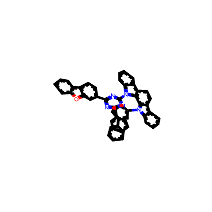 c1ccc(-c2cccc(-n3c4ccccc4c4ccc5c6ccccc6n(-c6nc(-c7ccccc7)nc(-c7ccc8c(c7)oc7ccccc78)n6)c5c43)c2)cc1